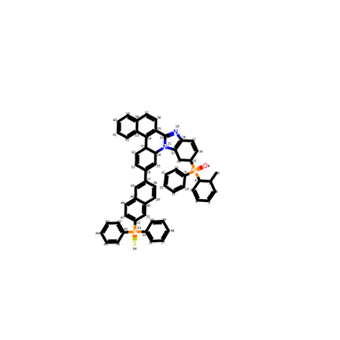 CC1C=CC=CC1P(=O)(c1ccccc1)C1C=Cc2nc3n(c2C1)C1C=C(c2ccc4cc(P(=S)(c5ccccc5)c5ccccc5)ccc4c2)C=CC1c1c-3ccc2ccccc12